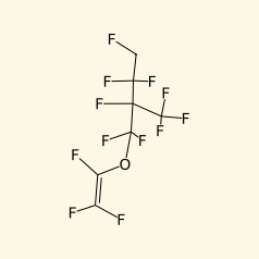 FCC(F)(F)C(F)(C(F)(F)F)C(F)(F)OC(F)=C(F)F